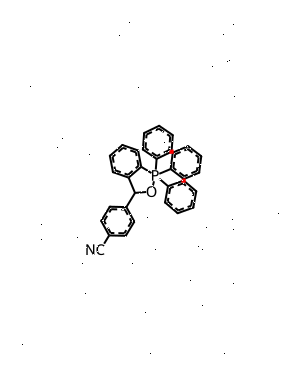 N#Cc1ccc(C2OP(c3ccccc3)(c3ccccc3)(c3ccccc3)c3ccccc32)cc1